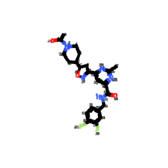 CC(=O)N1CCC(C2CC(c3cc(C(=O)NCc4ccc(F)c(F)c4)nc(C)n3)=NO2)CC1